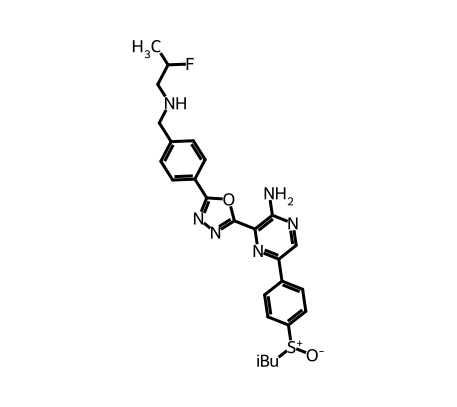 CCC(C)[S+]([O-])c1ccc(-c2cnc(N)c(-c3nnc(-c4ccc(CNCC(C)F)cc4)o3)n2)cc1